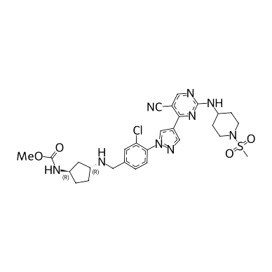 COC(=O)N[C@@H]1CC[C@@H](NCc2ccc(-n3cc(-c4nc(NC5CCN(S(C)(=O)=O)CC5)ncc4C#N)cn3)c(Cl)c2)C1